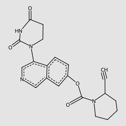 C#CC1CCCCN1C(=O)Oc1ccc2c(N3CCC(=O)NC3=O)cncc2c1